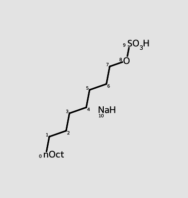 CCCCCCCCCCCCCCCOS(=O)(=O)O.[NaH]